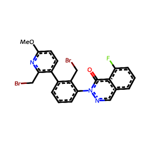 COc1ccc(-c2cccc(-n3ncc4cccc(F)c4c3=O)c2CBr)c(CBr)n1